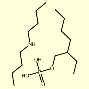 CCCCC(CC)COP(=O)(O)O.CCCCNCCCC